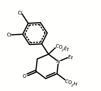 CCOC(=O)C1(c2ccc(Cl)c(Cl)c2)CC(=O)C=C(C(=O)O)N1CC